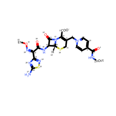 CCCCCCCCNC(=O)c1cc[n+](CC2=C(C(=O)[O-])N3C(=O)C(NC(=O)/C(=N\OCC)c4nsc(N)n4)[C@H]3SC2)cc1